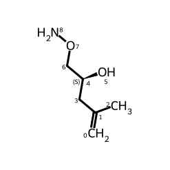 C=C(C)C[C@H](O)CON